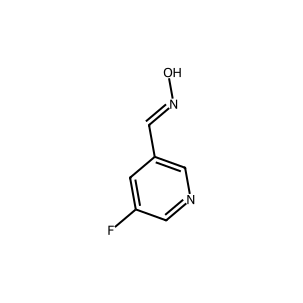 O/N=C/c1cncc(F)c1